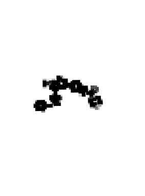 O=C(NCc1ccc(-c2cnc3[nH]cc(-c4cnn(Cc5ccccc5)c4)c3c2)cc1)N1CCOCC1